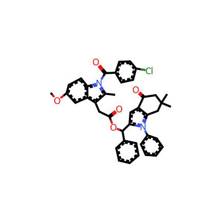 COc1ccc2c(c1)c(CC(=O)OC(c1ccccc1)c1cc3c(n1-c1ccccc1)CC(C)(C)CC3=O)c(C)n2C(=O)c1ccc(Cl)cc1